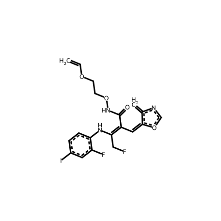 C=COCCONC(=O)C(/C=c1/ocnc1=C)=C(/CF)Nc1ccc(I)cc1F